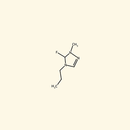 CCCN1C=NN(C)C1F